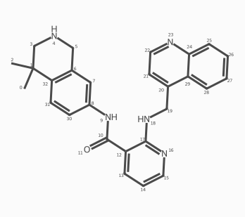 CC1(C)CNCc2cc(NC(=O)c3cccnc3NCc3ccnc4ccccc34)ccc21